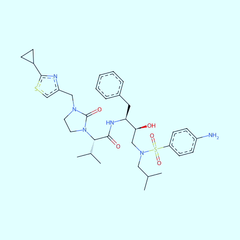 CC(C)CN(C[C@H](O)[C@H](Cc1ccccc1)NC(=O)[C@H](C(C)C)N1CCN(Cc2csc(C3CC3)n2)C1=O)S(=O)(=O)c1ccc(N)cc1